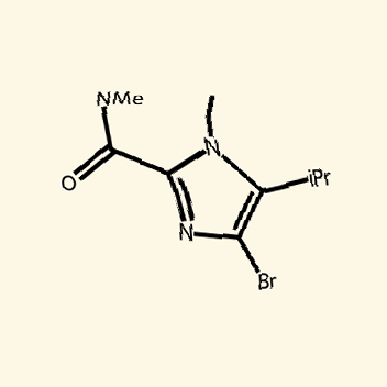 CNC(=O)c1nc(Br)c(C(C)C)n1C